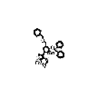 CN(C)/C=N\c1c(C2C[C@@H](COCc3ccccc3)[C@H](O[Si](c3ccccc3)(c3ccccc3)C(C)(C)C)C2)coc1C#N